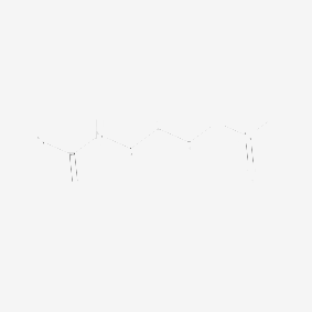 NC(=O)NCCCO[N+](=O)[O-]